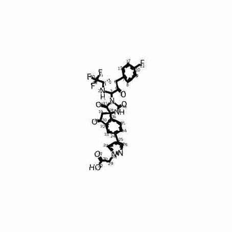 C[C@H](NC(C(=O)Cc1ccc(F)cc1)N1C(=O)NC2(CC(=O)c3cc(-c4cnn(CC(=O)O)c4)ccc32)C1=O)C(F)(F)F